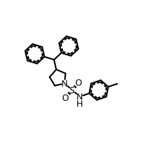 Cc1ccc(NS(=O)(=O)N2CCC(C(c3ccccc3)c3ccccc3)C2)cc1